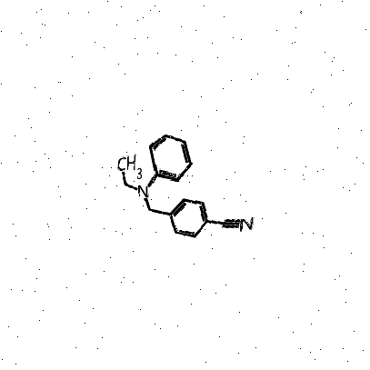 CCN(Cc1ccc(C#N)cc1)c1ccccc1